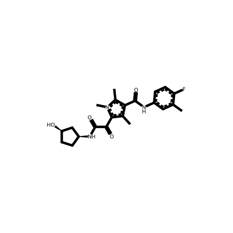 Cc1cc(NC(=O)c2c(C)c(C(=O)C(=O)N[C@H]3CC[C@@H](O)C3)n(C)c2C)ccc1F